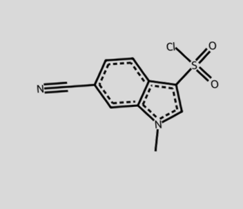 Cn1cc(S(=O)(=O)Cl)c2ccc(C#N)cc21